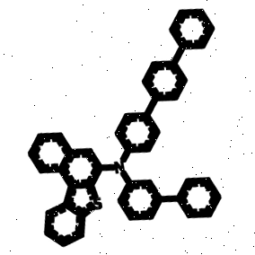 c1ccc(-c2ccc(-c3ccc(N(c4cccc(-c5ccccc5)c4)c4cc5ccccc5c5c4sc4ccccc45)cc3)cc2)cc1